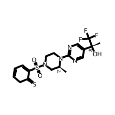 C[C@H]1CN(S(=O)(=O)C2=CC=CCC2=S)CCN1c1ncc([C@@](C)(O)C(F)(F)F)cn1